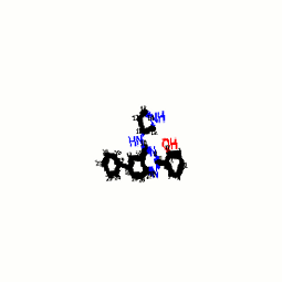 Oc1ccccc1-c1nc(NC2CCNC2)c2cc(-c3ccccc3)ccc2n1